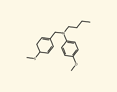 CCCCN(CC1=CCC(SC)C=C1)c1ccc(OC)cc1